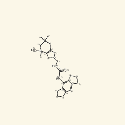 CC1(C)Cc2oc(SNC(=O)Nc3c4c(cc5c3CCC5)CCC4)cc2C(C)(O)C1